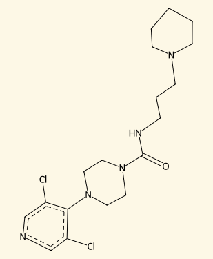 O=C(NCCCN1CCCCC1)N1CCN(c2c(Cl)cncc2Cl)CC1